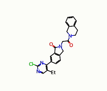 CCc1cnc(Cl)nc1-c1ccc2c(c1)C(=O)N(CC(=O)N1CCc3ccccc3C1)C2